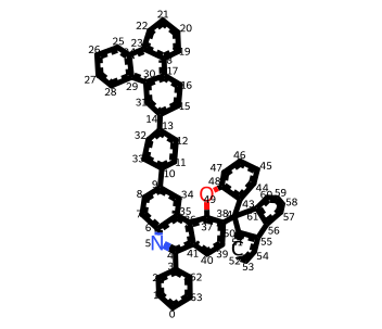 c1ccc(-c2nc3ccc(-c4ccc(-c5ccc6c7ccccc7c7ccccc7c6c5)cc4)cc3c3c4c(ccc23)C2(c3ccccc3O4)c3ccccc3-c3ccccc32)cc1